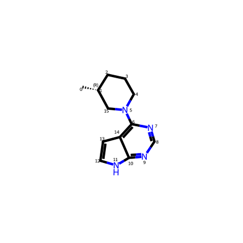 C[C@@H]1CCCN(c2ncnc3[nH]ccc23)C1